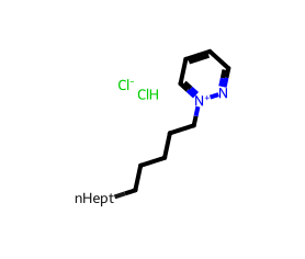 CCCCCCCCCCCC[n+]1ccccn1.Cl.[Cl-]